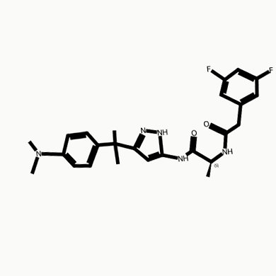 C[C@H](NC(=O)Cc1cc(F)cc(F)c1)C(=O)Nc1cc(C(C)(C)c2ccc(N(C)C)cc2)n[nH]1